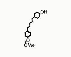 COCOc1ccc(CCCCCC2CCC(O)CC2)cc1